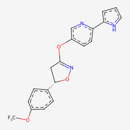 FC(F)(F)Oc1ccc([C@@H]2CC(Oc3ccc(-c4ccc[nH]4)nc3)=NO2)cc1